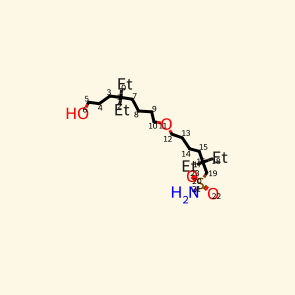 CCC(CC)(CCCO)CCCCOCCCCC(CC)(CC)CS(N)(=O)=O